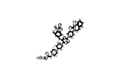 CCCCOC(=O)CN1CCN(C2CCN(C(=O)[C@@H](Cc3cc(C)c4c(c3)oc(=O)n4C)OC(=O)N3CCC(N4CCc5ccccc5NC4=O)CC3)CC2)CC1